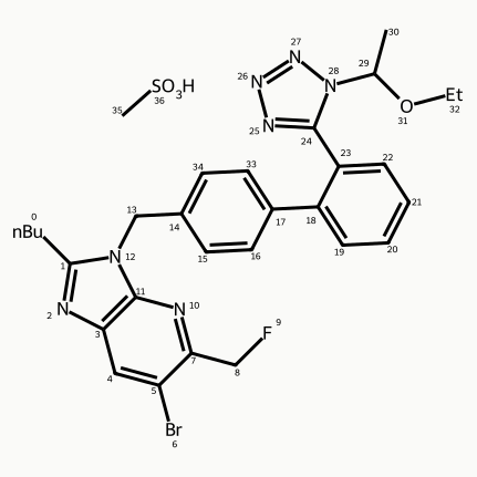 CCCCc1nc2cc(Br)c(CF)nc2n1Cc1ccc(-c2ccccc2-c2nnnn2C(C)OCC)cc1.CS(=O)(=O)O